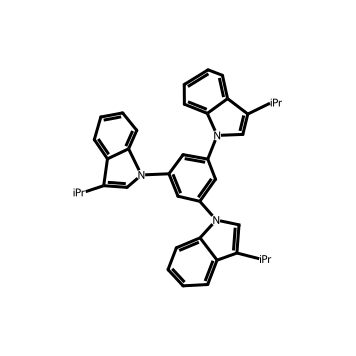 CC(C)c1cn(-c2cc(-n3cc(C(C)C)c4ccccc43)cc(-n3cc(C(C)C)c4ccccc43)c2)c2ccccc12